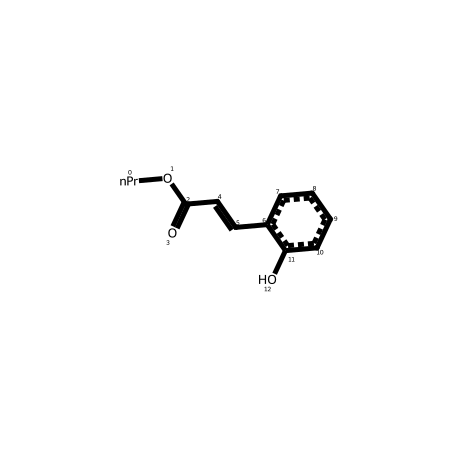 CCCOC(=O)/C=C/c1ccccc1O